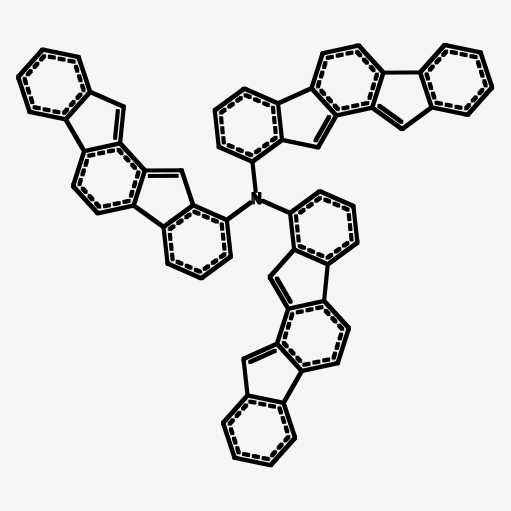 C1=c2c(ccc3c2=Cc2c-3cccc2N(c2cccc3c2C=c2c-3ccc3c2=Cc2ccccc2-3)c2cccc3c2C=c2c-3ccc3c2=Cc2ccccc2-3)-c2ccccc21